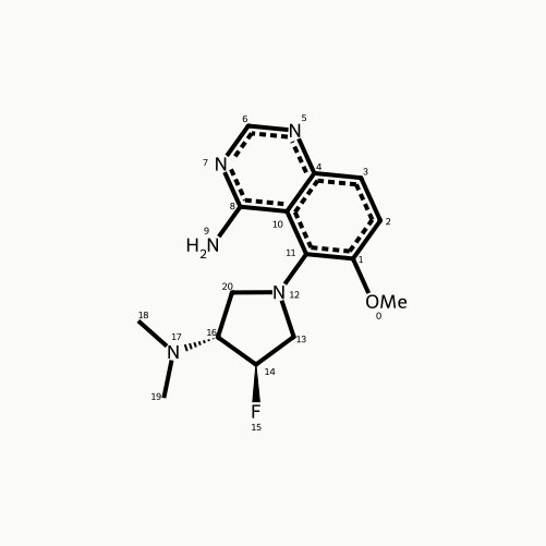 COc1ccc2ncnc(N)c2c1N1C[C@@H](F)[C@H](N(C)C)C1